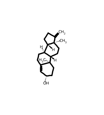 C=C1CC[C@H]2[C@@H]3CCC4=C[C@@H](O)CC[C@]4(C)[C@H]3CC[C@]12C